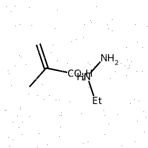 C=C(C)C(=O)O.CCNN